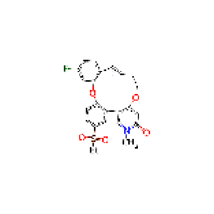 CCS(=O)(=O)c1ccc2c(c1)-c1cn(C)c(=O)cc1OCC/C=C/c1ccc(F)cc1O2